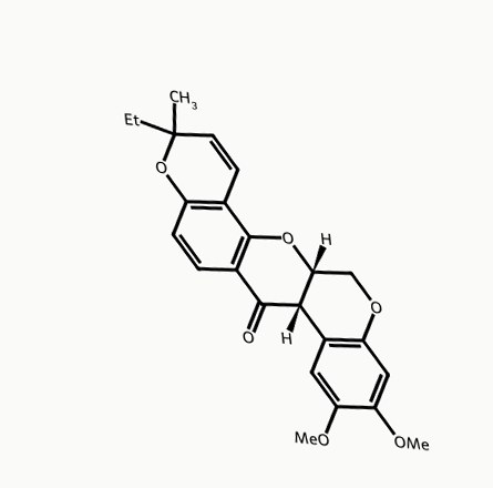 CCC1(C)C=Cc2c(ccc3c2O[C@@H]2COc4cc(OC)c(OC)cc4[C@@H]2C3=O)O1